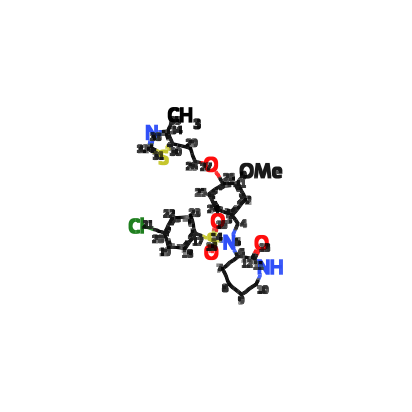 COc1cc(CN(C2CCCCNC2=O)S(=O)(=O)c2ccc(Cl)cc2)ccc1OCCc1scnc1C